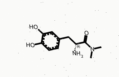 CN(C)C(=O)[C@H](N)Cc1ccc(O)c(O)c1